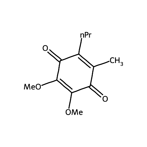 CCCC1=C(C)C(=O)C(OC)=C(OC)C1=O